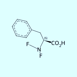 O=C(O)[C@H](Cc1ccccc1)N(F)F